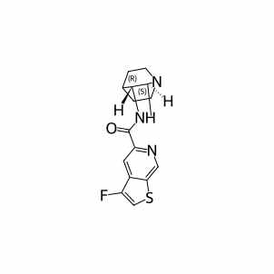 C[C@H]1[C@H](NC(=O)c2cc3c(F)csc3cn2)C2CCN1CC2